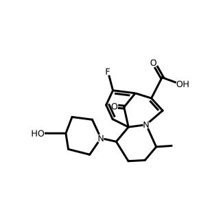 CC1CCC(N2CCC(O)CC2)C23C=CC(F)=C(C2=O)C(C(=O)O)=CN13